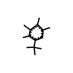 Cc1cc(C(C)(C)C)c(C)c(C)c1C